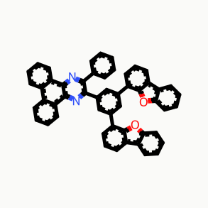 c1ccc(-c2nc3c4ccccc4c4ccccc4c3nc2-c2cc(-c3cccc4c3oc3ccccc34)cc(-c3cccc4c3oc3ccccc34)c2)cc1